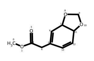 COC(=O)CC1=CC2OCOC2C=C1